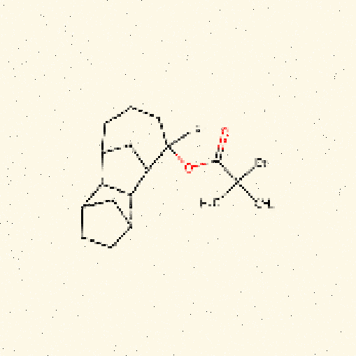 CCC(C)(C)C(=O)OC1(C(C)C)CCCC2CC1C1C3CCC(C3)C21